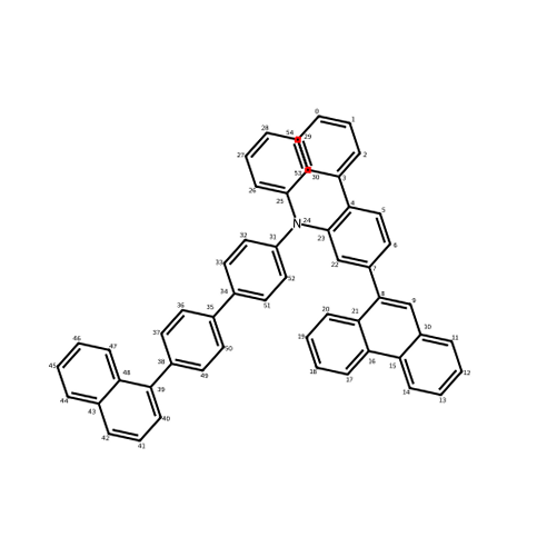 c1ccc(-c2ccc(-c3cc4ccccc4c4ccccc34)cc2N(c2ccccc2)c2ccc(-c3ccc(-c4cccc5ccccc45)cc3)cc2)cc1